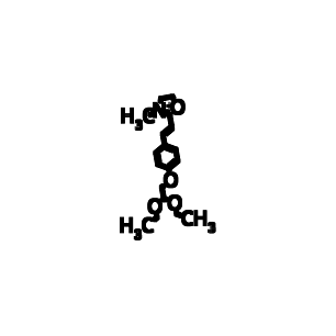 CCOC(COc1ccc(C=CC2=[N+](C)CCO2)cc1)OCC